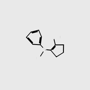 CCN(C1=C(C(=O)O)CCC1)c1ccccc1